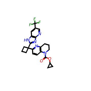 O=C(OC1CC1)N1CCCc2nc(C3(c4nc5ncc(C(F)(F)F)cc5[nH]4)CCC3)ccc21